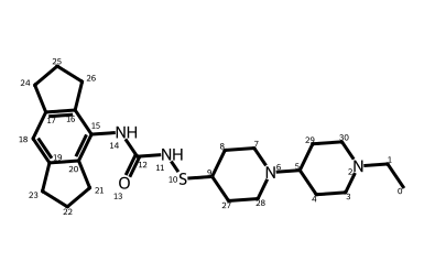 CCN1CCC(N2CCC(SNC(=O)Nc3c4c(cc5c3CCC5)CCC4)CC2)CC1